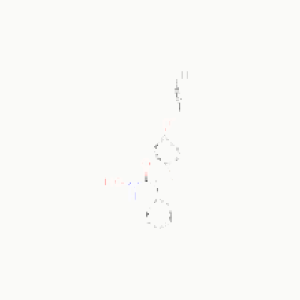 CC#CCOc1ccc(S[C@@H](C(=O)NO)c2ccccc2)cc1